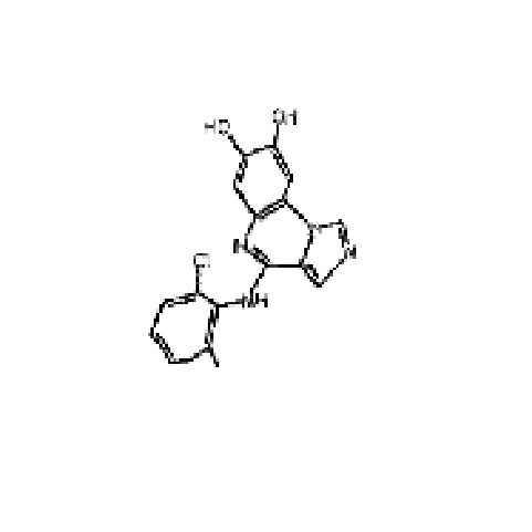 Cc1cccc(Cl)c1Nc1nc2cc(O)c(O)cc2n2cncc12